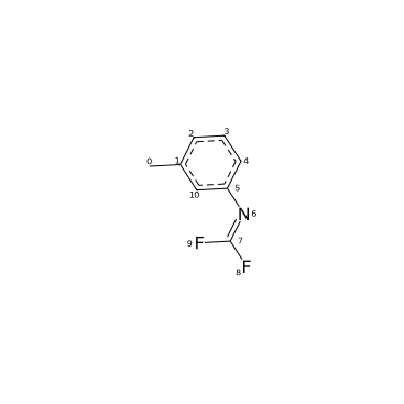 Cc1cccc(N=C(F)F)c1